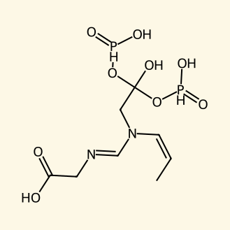 C/C=C\N(/C=N/CC(=O)O)CC(O)(O[PH](=O)O)O[PH](=O)O